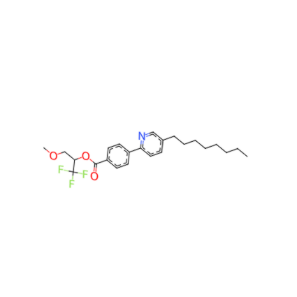 CCCCCCCCc1ccc(-c2ccc(C(=O)OC(COC)C(F)(F)F)cc2)nc1